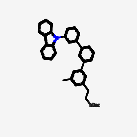 CCCCCCCCCCCCc1cc(C)cc(-c2cccc(-c3cccc(-n4c5ccccc5c5ccccc54)c3)c2)c1